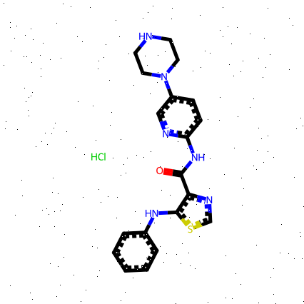 Cl.O=C(Nc1ccc(N2CCNCC2)cn1)c1ncsc1Nc1ccccc1